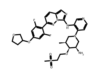 C[C@H]1CN(c2ccncc2Nc2ncc3ccc(-c4c(F)cc(OC5CCOC5)cc4F)nn23)C[C@@H](N)[C@H]1OCCS(C)(=O)=O